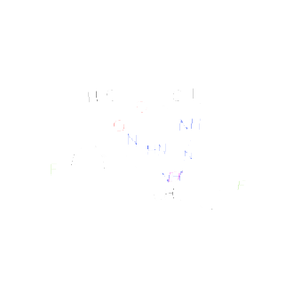 CCOC[C@H](C)N/C(=N/C(=O)c1cccc(F)c1)NC(CC(N=O)c1ccc(F)cc1)NC